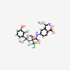 Cc1noc(=O)c2ccc(NC(=O)C(O)(CC(C)(C)c3cccc(O)c3Cl)C(F)(F)F)cc12